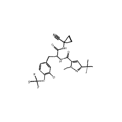 Cn1nc(C(C)(C)C)cc1C(=O)NC(Cc1ccc(OC(F)(F)F)c(Cl)c1)C(=O)NC1(C#N)CC1